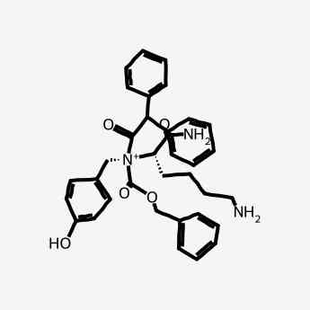 NCCCC[C@@H](C(N)=O)[N@@+](Cc1ccc(O)cc1)(C(=O)OCc1ccccc1)C(=O)C(c1ccccc1)c1ccccc1